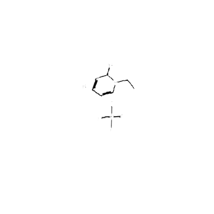 CCN1C=CC=CC1Br.F[B-](F)(F)F.[H+]